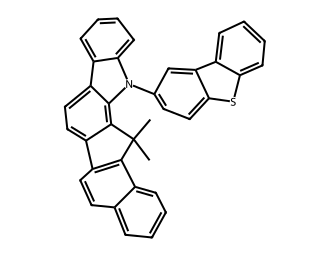 CC1(C)c2c(ccc3ccccc23)-c2ccc3c4ccccc4n(-c4ccc5sc6ccccc6c5c4)c3c21